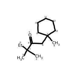 CCC(C)(C)C(=O)CC1(C)CCCCC1